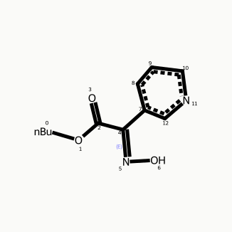 CCCCOC(=O)/C(=N/O)c1cccnc1